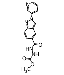 COC(=O)NNC(=O)c1ccc2nn(-c3cccnc3)cc2c1